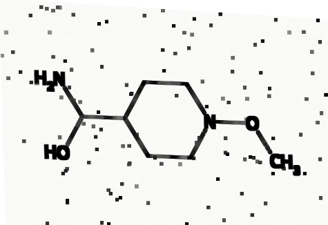 CON1CCC(C(N)O)CC1